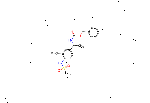 COc1cc(C(C)NC(=O)OCc2ccccc2)ccc1NS(C)(=O)=O